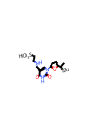 CCC(C)C(C)C1CC[C@H](n2cc(CNCCS(=O)(=O)O)c(=O)[nH]c2=O)O1